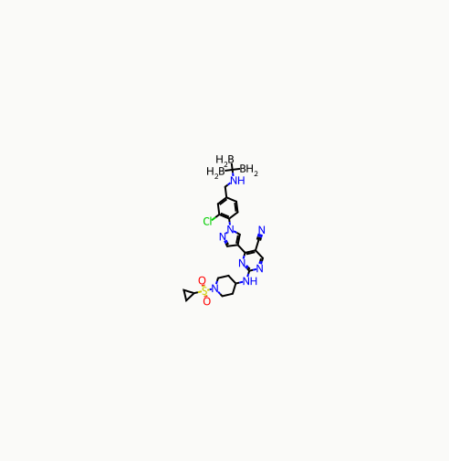 BC(B)(B)NCc1ccc(-n2cc(-c3nc(NC4CCN(S(=O)(=O)C5CC5)CC4)ncc3C#N)cn2)c(Cl)c1